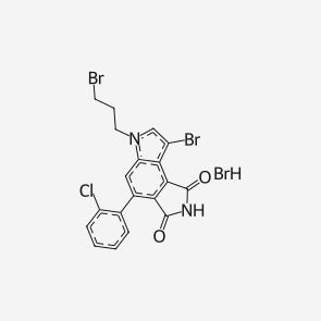 Br.O=C1NC(=O)c2c1c(-c1ccccc1Cl)cc1c2c(Br)cn1CCCBr